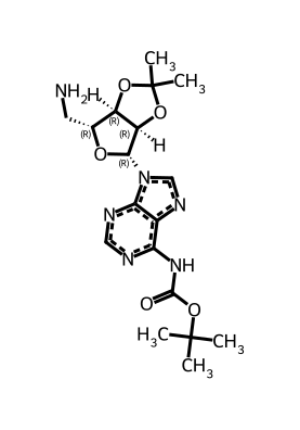 CC(C)(C)OC(=O)Nc1ncnc2c1ncn2[C@@H]1O[C@H](CN)[C@H]2OC(C)(C)O[C@H]21